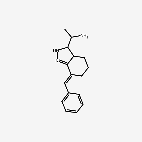 CC(N)C1NN=C2C(=Cc3ccccc3)CCCC21